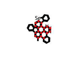 Cc1cc2c(c(-c3c(-c4ccccc4)nnnc3-c3c(-c4ccccc4-c4ccccc4-c4ccccc4)ccc4[se]c5ccccc5c34)c1C)Cc1ccccc1-2